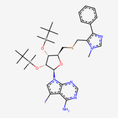 Cn1cnc(-c2ccccc2)c1CSC[C@H]1O[C@@H](n2cc(I)c3c(N)ncnc32)[C@H](O[Si](C)(C)C(C)(C)C)[C@@H]1O[Si](C)(C)C(C)(C)C